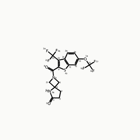 O=C1CCC2(CN(C(=O)c3sc4cc(OC(F)(F)F)ccc4c3C(F)(F)F)C2)N1